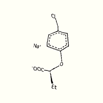 CC[C@H](Oc1ccc(Cl)cc1)C(=O)[O-].[Na+]